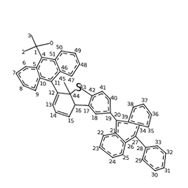 CC(C)(C)c1c2ccccc2c(C2=CC=CC3c4cc(-c5c6ccccc6c(-c6ccccc6)c6ccccc56)ccc4SC23C)c2ccccc12